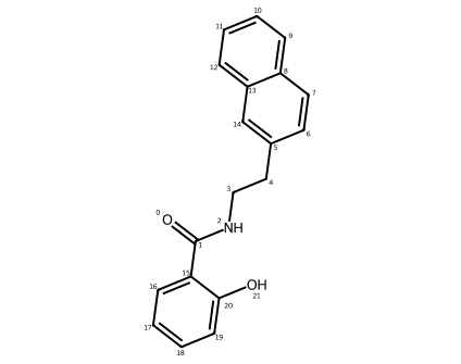 O=C(NCCc1ccc2ccccc2c1)c1ccccc1O